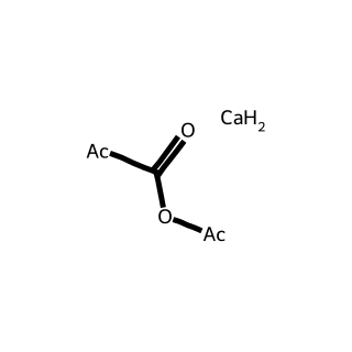 CC(=O)OC(=O)C(C)=O.[CaH2]